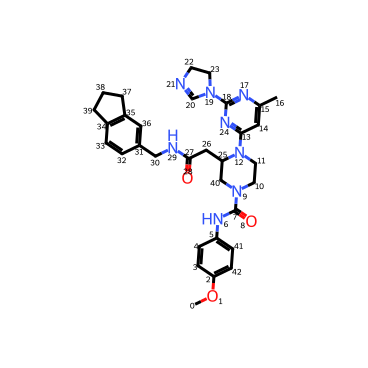 COc1ccc(NC(=O)N2CCN(c3cc(C)nc(N4C=NCC4)n3)C(CC(=O)NCc3ccc4c(c3)CCC4)C2)cc1